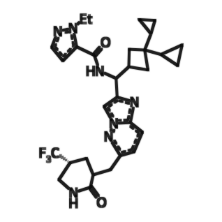 CCn1nccc1C(=O)NC(c1cn2nc(CC3C[C@@H](C(F)(F)F)CNC3=O)ccc2n1)C1CC(C2CC2)(C2CC2)C1